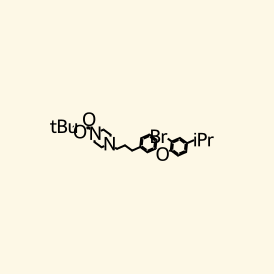 CC(C)c1ccc(Oc2cccc(CCCN3CCN(C(=O)OC(C)(C)C)CC3)c2)c(Br)c1